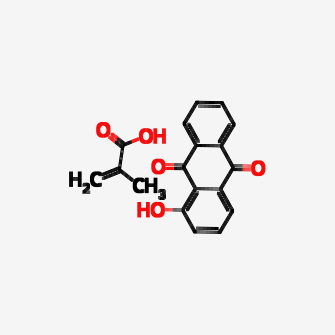 C=C(C)C(=O)O.O=C1c2ccccc2C(=O)c2c(O)cccc21